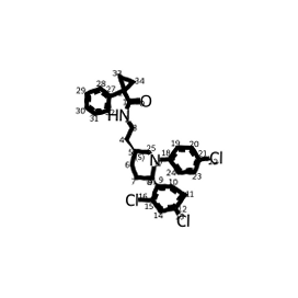 O=C(NCC[C@@H]1CC[C@@H](c2ccc(Cl)cc2Cl)N(c2ccc(Cl)cc2)C1)C1(c2ccccc2)CC1